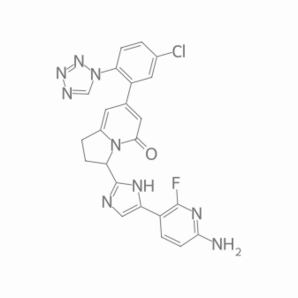 Nc1ccc(-c2cnc(C3CCc4cc(-c5cc(Cl)ccc5-n5cnnn5)cc(=O)n43)[nH]2)c(F)n1